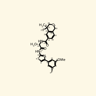 COc1cc(F)cc(-c2csc(NC(=O)[C@H](C)NC(=O)c3ccc4c(c3)[C@](C)(F)COC4)n2)c1